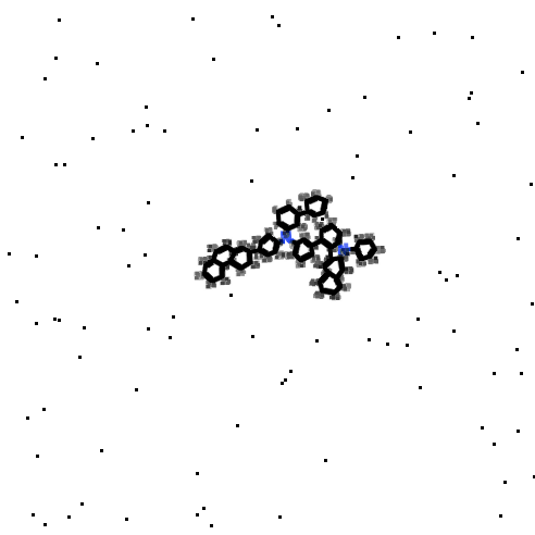 c1ccc(-c2cccc(N(c3ccc(-c4ccc5c(ccc6ccccc65)c4)cc3)c3cccc(-c4cccc5c4c4cc6ccccc6cc4n5-c4ccccc4)c3)c2)cc1